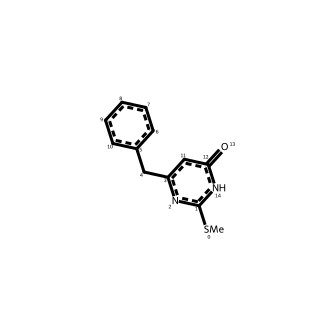 CSc1nc(Cc2ccccc2)cc(=O)[nH]1